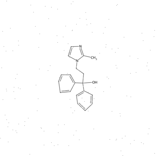 Cc1nccn1CCC(O)(c1ccccc1)c1ccccc1